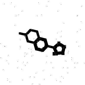 CN1CCc2cc(-c3nnn[nH]3)ccc2C1